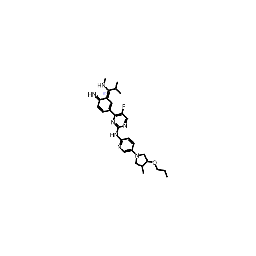 CCCOC1CN(c2ccc(Nc3ncc(F)c(C4=C/C(=C(/NC)C(C)C)C(=N)C=C4)n3)nc2)CC1C